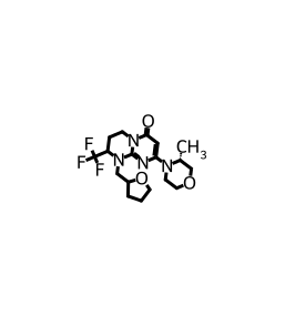 C[C@@H]1COCCN1c1cc(=O)n2c(n1)N(CC1CCCO1)C(C(F)(F)F)CC2